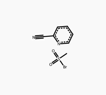 CS(=O)(=O)Br.N#Cc1ccccn1